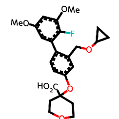 COc1cc(OC)c(F)c(-c2ccc(OC3(C(=O)O)CCOCC3)cc2COC2CC2)c1